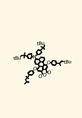 C=C(C)CC(C)(C)c1ccc(Oc2cc3c4c(cc(Oc5ccc(/C(C)=C/C(C)(C)C)cc5)c5c6cccc7c(N(c8ccc(C(C)(C)CC(C)(C)C)cc8)c8ccc(C(C)(C)CC(C)(C)C)cc8)ccc(c2c45)c76)C(=O)OC3=O)cc1